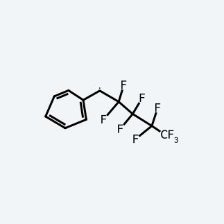 FC(F)(F)C(F)(F)C(F)(F)C(F)(F)[CH]c1ccccc1